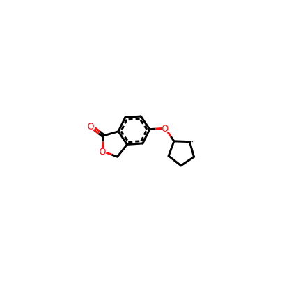 O=C1OCc2cc(OC3[CH]CCC3)ccc21